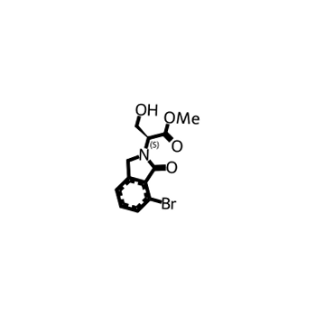 COC(=O)[C@H](CO)N1Cc2cccc(Br)c2C1=O